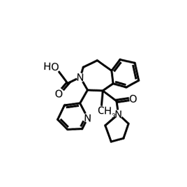 CC1(C(=O)N2CCCC2)c2ccccc2CCN(C(=O)O)C1c1ccccn1